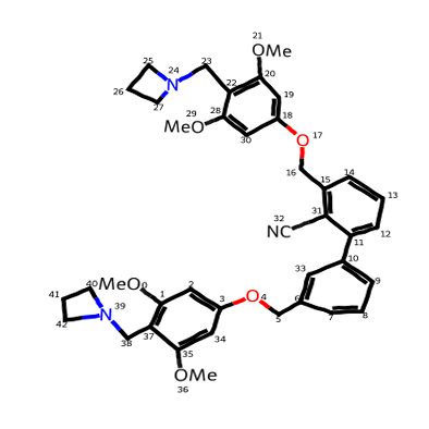 COc1cc(OCc2cccc(-c3cccc(COc4cc(OC)c(CN5CCC5)c(OC)c4)c3C#N)c2)cc(OC)c1CN1CCC1